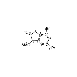 COC1c2cc(C(C)C)cc(Br)c2CC1C